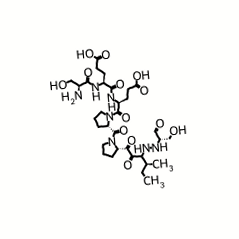 CC[C@H](C)C(NN[C@H](C=O)CO)C(=O)C(=O)[C@@H]1CCCN1C(=O)[C@@H]1CCCN1C(=O)[C@H](CCC(=O)O)NC(=O)[C@H](CCC(=O)O)NC(=O)[C@@H](N)CO